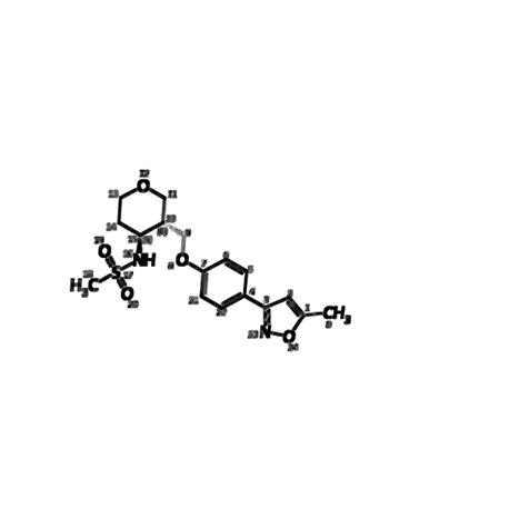 Cc1cc(-c2ccc(OC[C@H]3COCC[C@@H]3NS(C)(=O)=O)cc2)no1